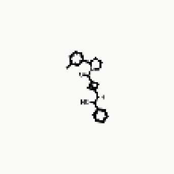 Cc1cccc(C2CCCN2C(=O)C23CC(NC(O)c4ccccc4)(C2)C3)c1